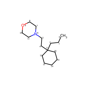 CCCC1(CCN2CCOCC2)CCCCC1